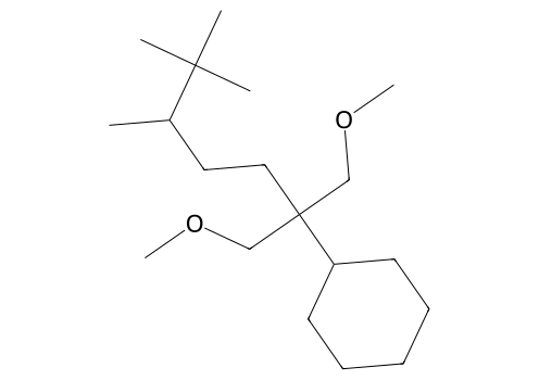 COCC(CCC(C)C(C)(C)C)(COC)C1CCCCC1